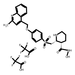 Cc1cc(COc2ccc(S(=O)(=O)C[C@@H]3NCCC[C@@H]3C(=O)NO)cc2)c2ccccc2n1.O=C(O)C(F)(F)F.O=C(O)C(F)(F)F